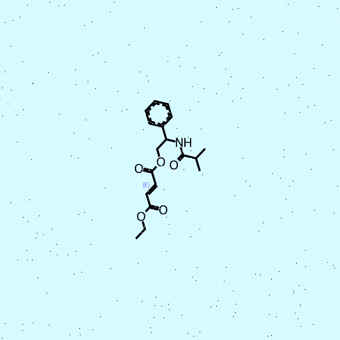 CCOC(=O)/C=C/C(=O)OCC(NC(=O)C(C)C)c1ccccc1